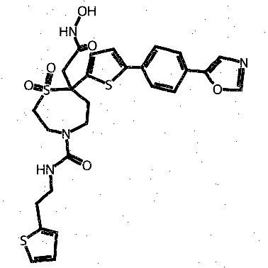 O=C(CC1(c2ccc(-c3ccc(-c4cnco4)cc3)s2)CCN(C(=O)NCCc2cccs2)CCS1(=O)=O)NO